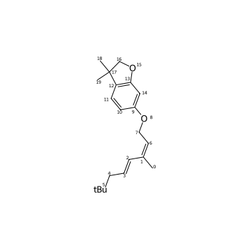 CC(C=CCC(C)(C)C)=CCOc1ccc2c(c1)OCC2(C)C